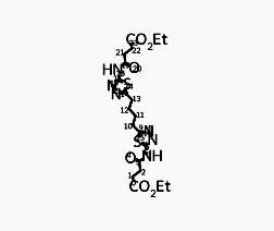 CCOC(=O)CCC(=O)Nc1nnc(CCCCc2nnc(NC(=O)CCC(=O)OCC)s2)s1